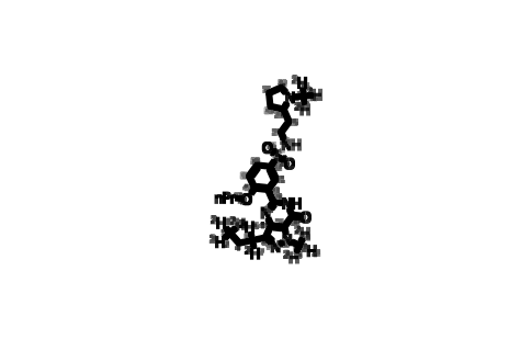 [2H]C([2H])([2H])CC([2H])([2H])c1nn(C([2H])([2H])[2H])c2c(=O)[nH]c(-c3cc(S(=O)(=O)NCCC4CCCN4C([2H])([2H])[2H])ccc3OCCC)nc12